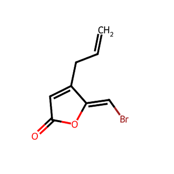 C=CCC1=CC(=O)OC1=CBr